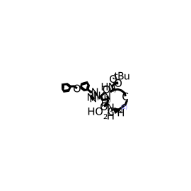 CC(C)(C)OC(=O)N[C@H]1CCCCC/C=C\[C@@H]2C[C@@]2(C(=O)O)NC(=O)[C@@H]2C[C@@H](n3nnc(-c4cccc(OCc5ccccc5)c4)n3)CN2C1=O